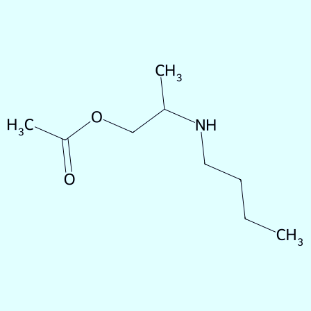 CCCCNC(C)COC(C)=O